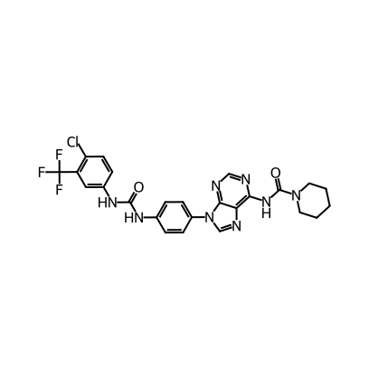 O=C(Nc1ccc(-n2cnc3c(NC(=O)N4CCCCC4)ncnc32)cc1)Nc1ccc(Cl)c(C(F)(F)F)c1